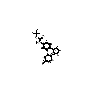 CC(C)(C)OC(=O)Nc1ccc(C2CCCN2c2ccc(F)cc2)cc1